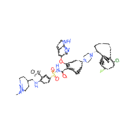 CN1CCC(CNc2ccc(S(=O)(=O)NC(=O)c3ccc(N4CCN([C@@H]5CCCCc6c(Cl)cc(F)cc65)CC4)cc3Oc3cnc4[nH]ccc4c3)cc2[N+](=O)[O-])CC1